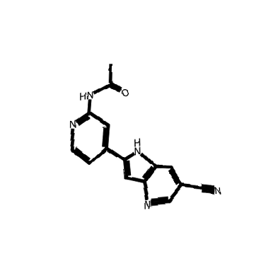 CC(=O)Nc1cc(-c2cc3ncc(C#N)cc3[nH]2)ccn1